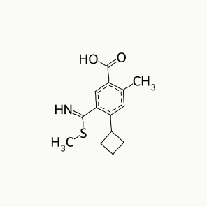 CSC(=N)c1cc(C(=O)O)c(C)cc1C1CCC1